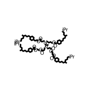 CC(C)CCCC(C)CCCC1CCC(CCOC(=O)CCN(CCCCOC(=O)C2CCC(CCCC(C)CCCC(C)C)CC2)CC(C)N(CCC(=O)OCCOC(=O)C2CCC(CCCC(C)CCCC(C)C)CC2)CCC(=O)OCCOC(=O)C2CCC(CCCC(C)CCCC(C)C)CC2)CC1